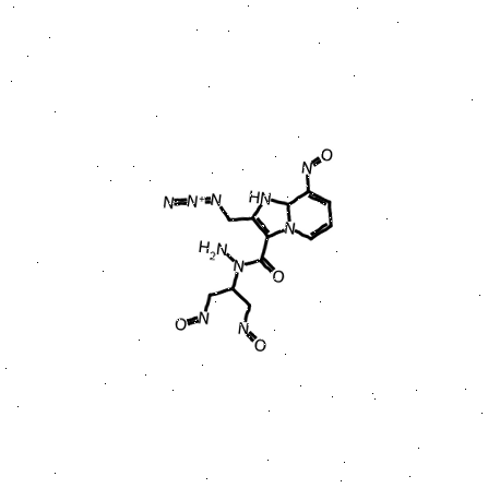 [N-]=[N+]=NCC1=C(C(=O)N(N)C(CN=O)CN=O)N2C=CC=C(N=O)C2N1